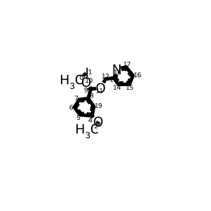 CI.COc1cccc(C(=O)OCc2ccccn2)c1